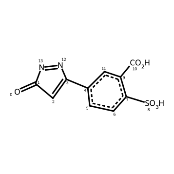 O=C1C=C(c2ccc(S(=O)(=O)O)c(C(=O)O)c2)N=N1